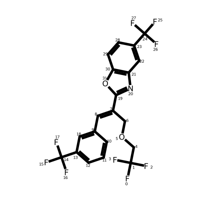 FC(F)(F)COC/C(=C\c1cccc(C(F)(F)F)c1)c1nc2cc(C(F)(F)F)ccc2o1